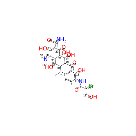 CC1c2ccc(NC(=O)C(Br)CO)c(O)c2C(=O)C2=C(O)[C@]3(O)C(=O)C(C(N)=O)=C(O)[C@@H](N(C)C)C3C(O)C21